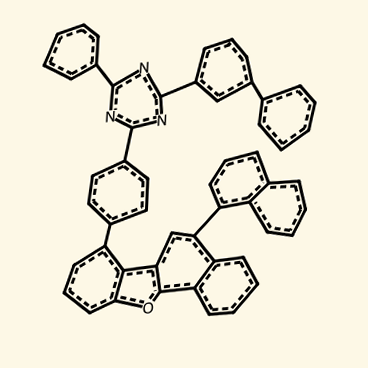 c1ccc(-c2cccc(-c3nc(-c4ccccc4)nc(-c4ccc(-c5cccc6oc7c8ccccc8c(-c8cccc9ccccc89)cc7c56)cc4)n3)c2)cc1